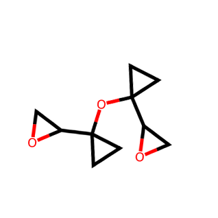 C1OC1C1(OC2(C3CO3)CC2)CC1